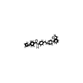 O=C(NC1CCC(CCN2CCN(c3nccc4c3OCC4)CC2)CC1)c1ccc(-n2cccc2)cc1